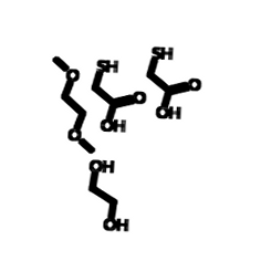 COCCOC.O=C(O)CS.O=C(O)CS.OCCO